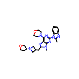 Cc1nc2ccccc2n1-c1nc(N2CCOCC2)c2nc(CC3CN([C@H]4CCOC4)C3)n(C)c2n1